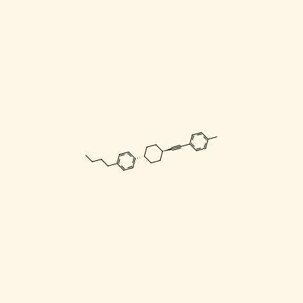 CCCCc1ccc([C@H]2CC[C@H](C#Cc3ccc(C)cc3)CC2)cc1